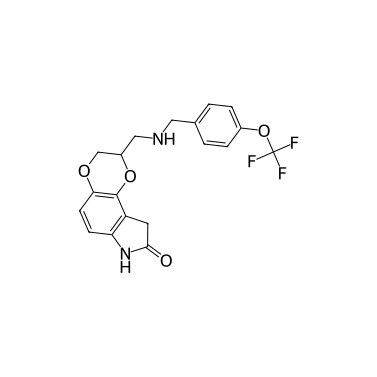 O=C1Cc2c(ccc3c2OC(CNCc2ccc(OC(F)(F)F)cc2)CO3)N1